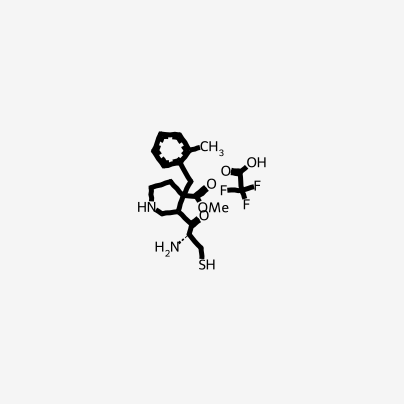 COC(=O)C1(Cc2ccccc2C)CCNCC1C(=O)[C@@H](N)CS.O=C(O)C(F)(F)F